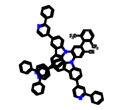 N#Cc1cc(-n2c3ccc(-c4ccnc(-c5ccccc5)c4)cc3c3cc(-c4ccnc(-c5ccccc5)c4)ccc32)c(-n2c3ccc(-c4ccnc(-c5ccccc5)c4)cc3c3cc(-c4ccnc(-c5ccccc5)c4)ccc32)cc1-c1c(C(F)(F)F)cccc1C(F)(F)F